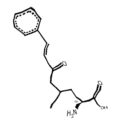 CC(CC(=O)C=Cc1ccccc1)C[C@H](N)C(=O)O